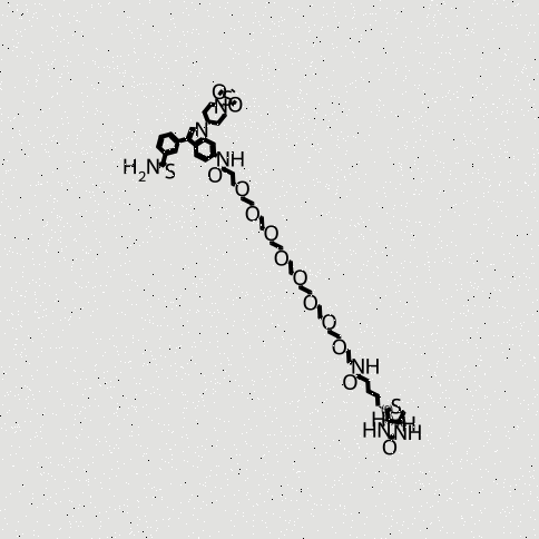 CS(=O)(=O)N1CCC(n2cc(-c3cccc(C(N)=S)c3)c3ccc(NC(=O)CCOCCOCCOCCOCCOCCOCCOCCOCCNC(=O)CCCC[C@@H]4SC[C@@H]5NC(=O)N[C@@H]54)cc32)CC1